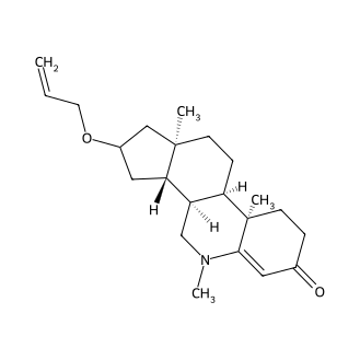 C=CCOC1C[C@H]2[C@@H]3CN(C)C4=CC(=O)CC[C@]4(C)[C@@H]3CC[C@]2(C)C1